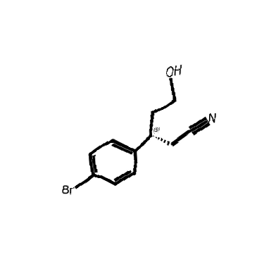 N#CC[C@@H](CCO)c1ccc(Br)cc1